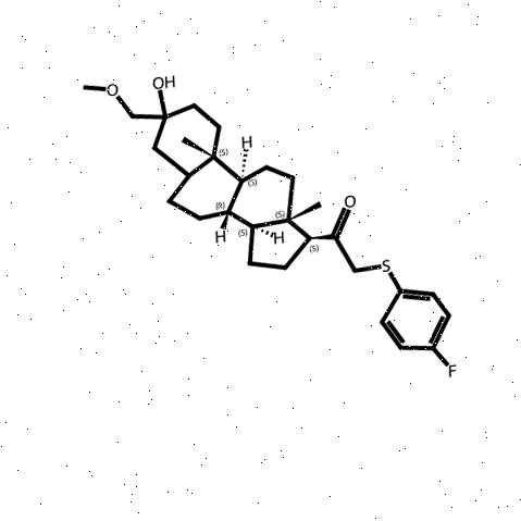 COCC1(O)CC[C@@]2(C)C(CC[C@H]3[C@@H]4CC[C@H](C(=O)CSc5ccc(F)cc5)[C@@]4(C)CC[C@@H]32)C1